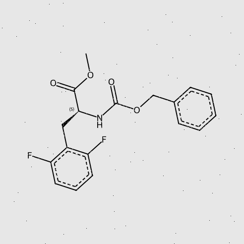 COC(=O)[C@H](Cc1c(F)cccc1F)NC(=O)OCc1ccccc1